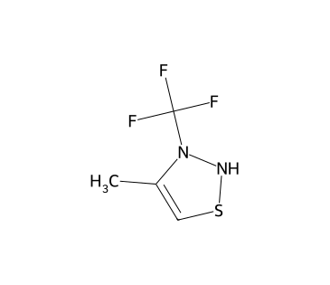 CC1=CSNN1C(F)(F)F